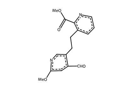 COC(=O)c1ncccc1CCc1cnc(OC)cc1C=O